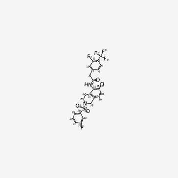 O=C(Cc1ccc(C(F)(F)F)c(F)c1)Nc1c(Cl)ccc2c1CCN(S(=O)(=O)c1cccc(F)c1)C2